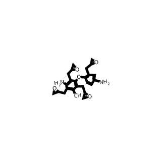 Cc1c(CC2CO2)c(N)c(CC2CO2)c(Oc2ccc(N)cc2CC2CO2)c1CC1CO1